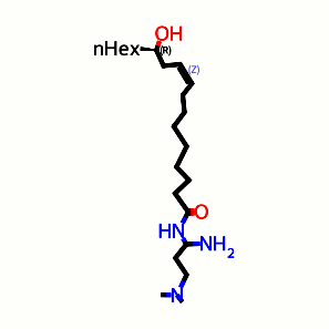 CCCCCC[C@@H](O)C/C=C\CCCCCCCC(=O)NC(N)CCN(C)C